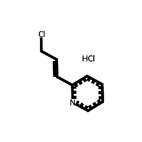 Cl.ClC/C=C/c1ccccn1